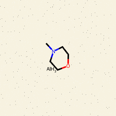 CN1CCOCC1.[AlH3]